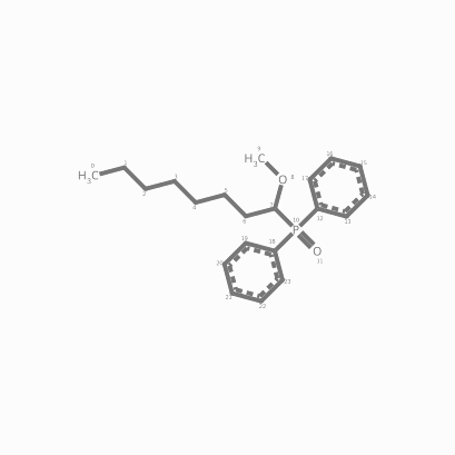 CCCCCCCC(OC)P(=O)(c1ccccc1)c1ccccc1